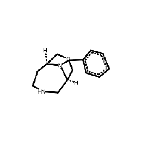 c1ccc(CN2[C@@H]3CNCC[C@H]2COC3)cc1